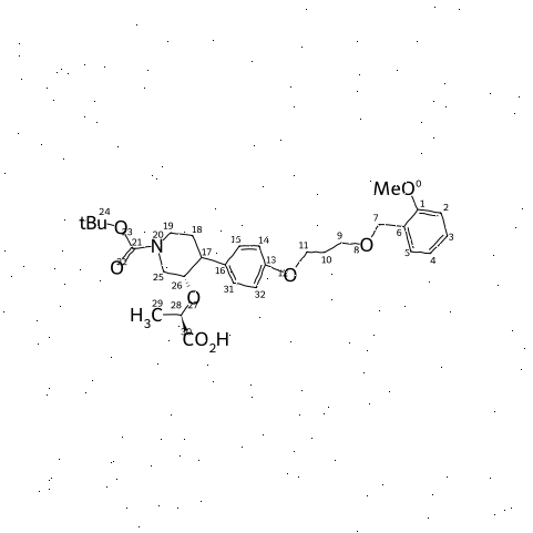 COc1ccccc1COCCCOc1ccc(C2CCN(C(=O)OC(C)(C)C)C[C@H]2O[C@H](C)C(=O)O)cc1